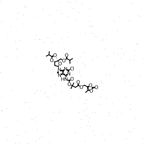 Cc1oc(=O)oc1COC(=O)CC(C)(C)OC(=O)Nc1nc(Cl)nc2c1ncn2[C@H]1C[C@H](OC(=O)C(C)C)[C@@](C)(COC(=O)C(C)C)O1